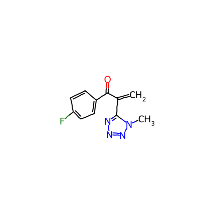 C=C(C(=O)c1ccc(F)cc1)c1nnnn1C